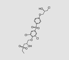 CCS(=O)(=O)CC(O)COc1c(Cl)cc(S(=O)(=O)c2ccc(OC[C@@H](O)CCl)cc2)cc1Cl